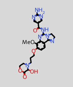 COc1c(OCCCN2CCOC(=O)C2O)ccc2c1N=C(NC(=O)c1cnc(N)nc1)N1CCN=C21